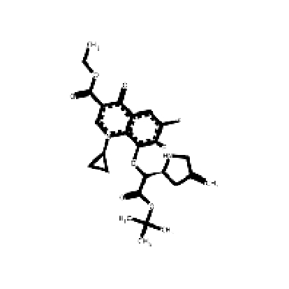 C=C1CN[C@H](C(Oc2c(F)c(F)cc3c(=O)c(C(=O)OCC)cn(C4CC4)c23)C(=O)OC(C)(C)C)C1